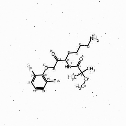 COC(C)(C)C(=O)NC(CCCCN)C(=O)COc1c(F)c#ccc1F